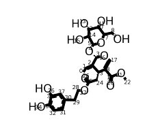 C/C=C1/[C@H](OC2OC(CO)C(O)C(O)C2O)OC=C(C(=O)OC)[C@H]1CC(=O)OCCc1ccc(O)c(O)c1